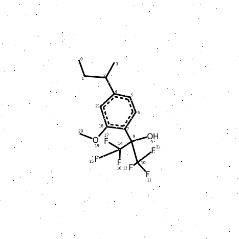 CCC(C)c1ccc(C(O)(C(F)(F)F)C(F)(F)F)c(OC)c1